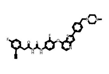 C#Cc1cc(F)ccc1CC(=O)NC(=S)Nc1ccc(Oc2ccnc3cc(-c4ccc(CN5CCN(C)CC5)cc4)sc23)c(F)c1